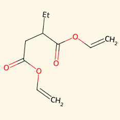 C=COC(=O)CC(CC)C(=O)OC=C